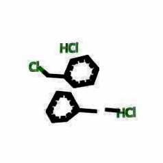 CC.Cc1ccccc1.Cl.Cl.ClCc1ccccc1